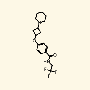 O=C(NCC(F)(F)F)c1ccc(OC2CC(N3CCCCC3)C2)cc1